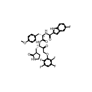 COc1ccc(C[C@H](NC(=O)c2cc3cc(F)ccc3[nH]2)C(=O)N[C@@H](CC2CCNC2=O)C(=O)COc2c(F)c(F)cc(F)c2F)cc1